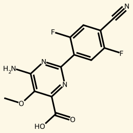 COc1c(N)nc(-c2cc(F)c(C#N)cc2F)nc1C(=O)O